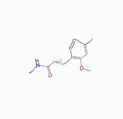 CNC(=O)/C=C/c1ccc(C)cc1OC